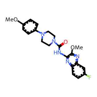 COc1ccc(N2CCN(C(=O)Nc3nc4ccc(F)cc4nc3OC)CC2)cc1